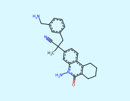 CC(C#N)(Cc1cccc(CN)c1)c1ccc2c3c(c(=O)n(N)c2c1)CCCC3